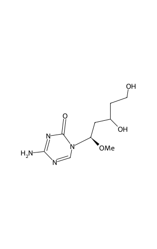 CO[C@H](CC(O)CCO)n1cnc(N)nc1=O